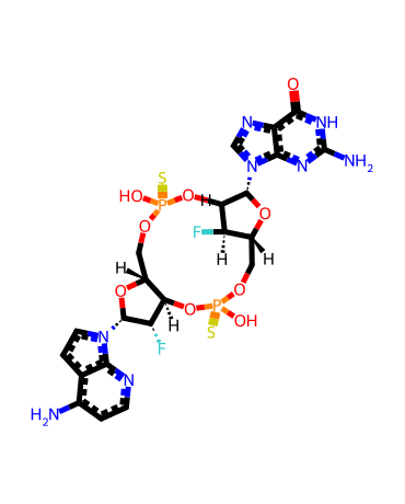 Nc1nc2c(ncn2[C@@H]2O[C@@H]3COP(O)(=S)O[C@H]4[C@H](F)[C@H](n5ccc6c(N)ccnc65)O[C@@H]4COP(O)(=S)O[C@@H]2[C@@H]3F)c(=O)[nH]1